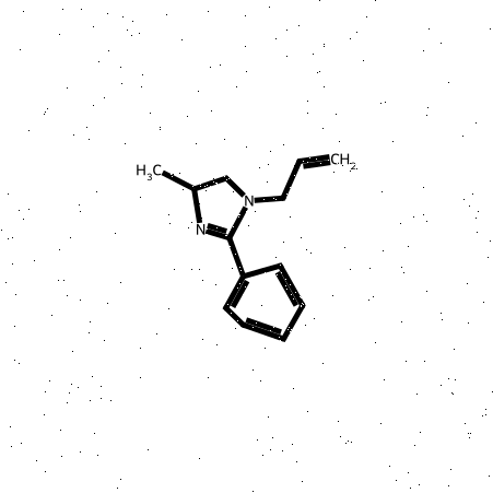 C=CCN1CC(C)N=C1c1ccccc1